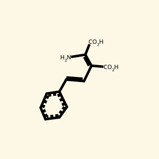 NC(C(=O)O)=C(C=Cc1ccccc1)C(=O)O